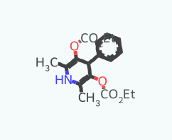 CCOC(=O)OC1=C(C)NC(C)=C(OC(=O)OCC)C1c1ccccc1